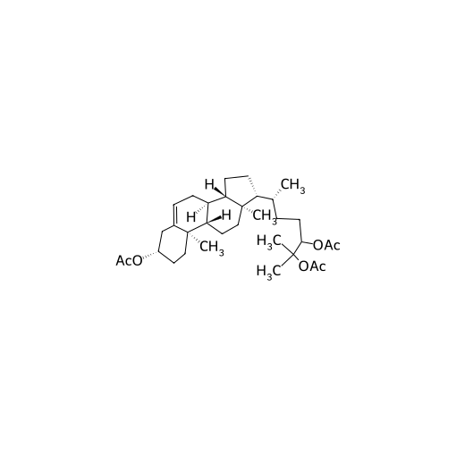 CC(=O)OC(CC[C@@H](C)[C@H]1CC[C@H]2[C@@H]3CC=C4C[C@@H](OC(C)=O)CC[C@]4(C)[C@H]3CC[C@]12C)C(C)(C)OC(C)=O